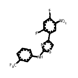 O=[N+]([O-])c1cc(-c2csc(Nc3cccc(C(F)(F)F)c3)n2)c(F)cc1F